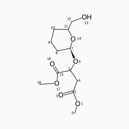 COC(=O)CC(O[C@H]1CCCC(CO)O1)C(=O)OC